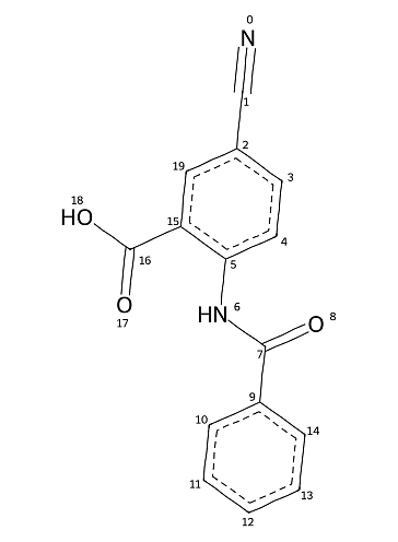 N#Cc1ccc(NC(=O)c2ccccc2)c(C(=O)O)c1